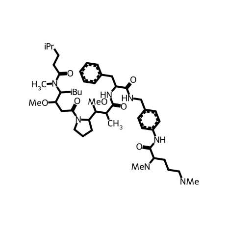 CCC(C)C(C(CC(=O)N1CCCC1C(OC)C(C)C(=O)NC(Cc1ccccc1)C(=O)NCc1ccc(NC(=O)C(CCCNC)NC)cc1)OC)N(C)C(=O)CCC(C)C